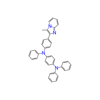 Cc1c(-c2ccc(N(c3ccccc3)c3ccc(N(c4ccccc4)c4ccccc4)cc3)cc2)nc2ccccn12